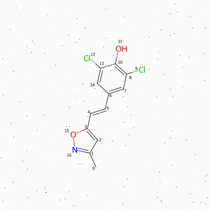 Cc1cc(C=Cc2cc(Cl)c(O)c(Cl)c2)on1